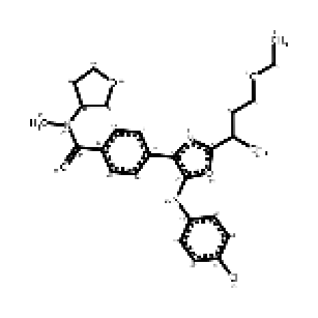 CCOCCC(C)c1nc(-c2ccc(C(=O)N(C)C3CCOC3)cc2)c(Sc2ccc(Cl)cc2)o1